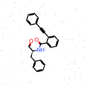 O=C[C@H](Cc1ccccc1)NC(=O)c1ccccc1C#Cc1ccccc1